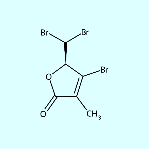 CC1=C(Br)[C@H](C(Br)Br)OC1=O